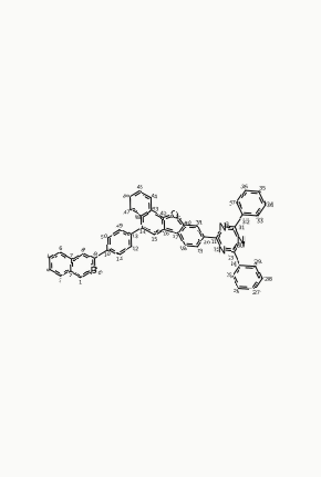 b1cc2ccccc2cc1-c1ccc(-c2cc3c4ccc(-c5nc(-c6ccccc6)nc(-c6ccccc6)n5)cc4oc3c3ccccc23)cc1